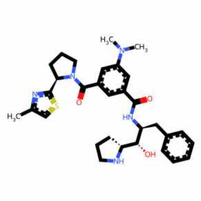 Cc1csc([C@H]2CCCN2C(=O)c2cc(C(=O)N[C@@H](Cc3ccccc3)[C@H](O)[C@H]3CCCN3)cc(N(C)C)c2)n1